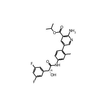 Cc1cc(NC(=O)[C@H](O)c2cc(F)cc(F)c2)ccc1-c1cnc(N)c(C(=O)OC(C)C)c1